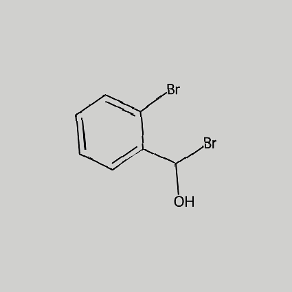 OC(Br)c1ccccc1Br